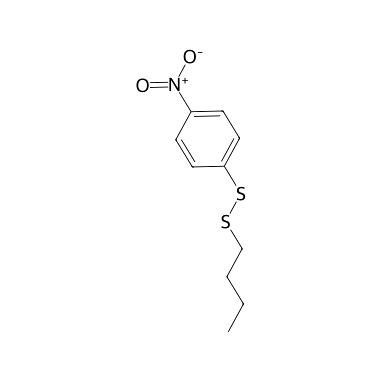 CCCCSSc1ccc([N+](=O)[O-])cc1